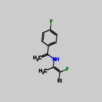 C=C(N/C(C)=C(\F)CC)c1ccc(F)cc1